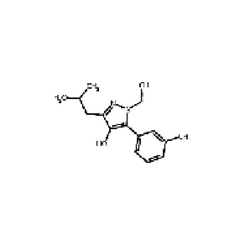 CCn1nc(CC(C)C)c(O)c1-c1cccc(C)c1